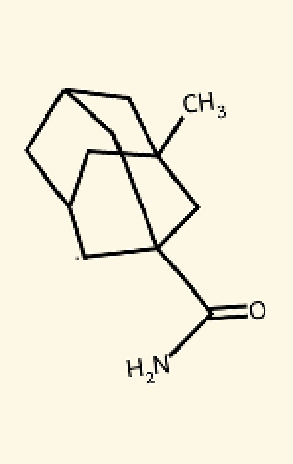 CC12CC3[CH]C(C(N)=O)(CC(C3)C1)C2